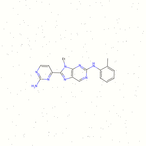 CCn1c(-c2ccnc(N)n2)nc2cnc(Nc3ccccc3C)nc21